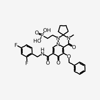 CN1C(=O)c2c(OCc3ccccc3)c(=O)c(C(=O)NCc3ccc(F)cc3F)cn2N(CCP(=O)(O)O)C12CCCC2